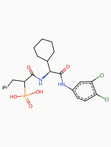 CC(C)CC(C(=O)N[C@H](C(=O)Nc1ccc(Cl)c(Cl)c1)C1CCCCC1)P(=O)(O)O